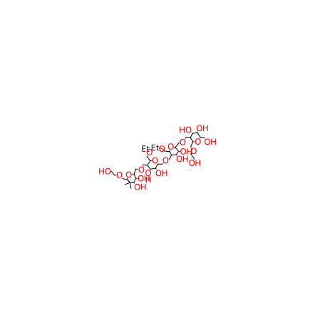 CCOCC1OC(COCC2C(COCCO)OC(CO)C(O)C2O)C(O)C(O)C1COCC1OC(COCC)C(COCC2OC(COCCO)C(C)(C)C(O)C2O)C(O)C1O